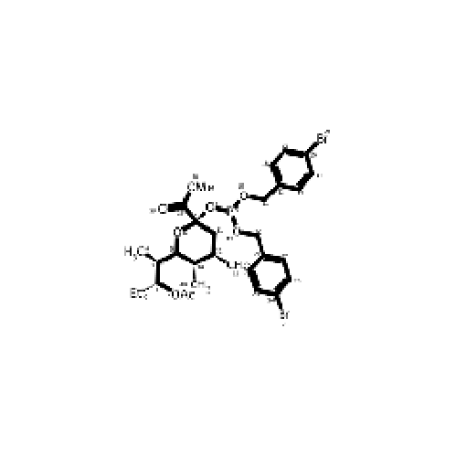 CC[C@@H](OC(C)=O)[C@@H](C)C1O[C@](OP(OCc2ccc(Br)cc2)OCc2ccc(Br)cc2)(C(=O)OC)C[C@@H](C)[C@H]1C